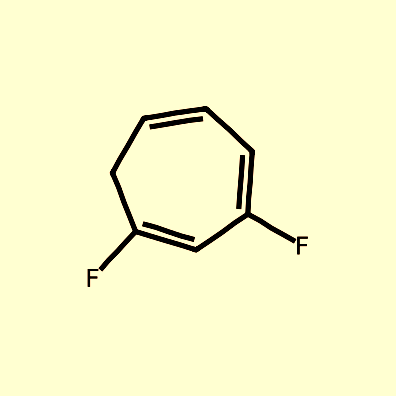 FC1=CC=CCC(F)=C1